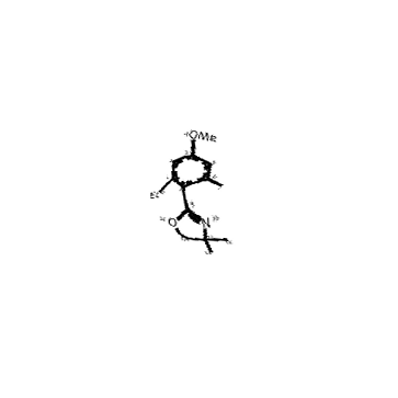 CCc1cc(OC)cc(C)c1C1=NC(C)(C)CO1